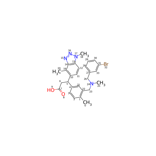 Cc1ccc(C(CC(=O)O)c2ccc3c(nnn3C)c2C)cc1CN(C)Cc1cccc(Br)c1